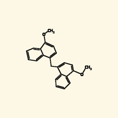 COc1ccc(Cc2ccc(OC)c3ccccc23)c2ccccc12